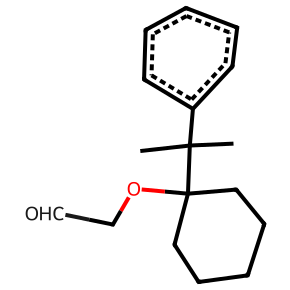 CC(C)(c1ccccc1)C1(OCC=O)CCCCC1